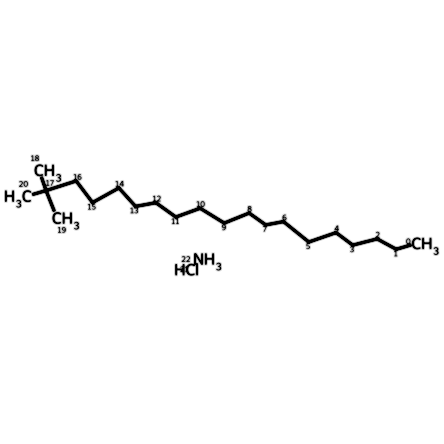 CCCCCCCCCCCCCCCCCC(C)(C)C.Cl.N